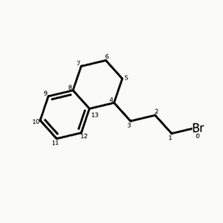 BrCCCC1CCCc2ccccc21